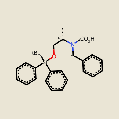 C[C@@H](CO[Si](c1ccccc1)(c1ccccc1)C(C)(C)C)N([CH]c1ccccc1)C(=O)O